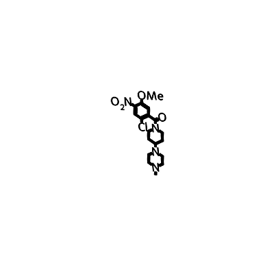 COc1cc(C(=O)N2CCC(N3CCN(C)CC3)CC2)c(Cl)cc1[N+](=O)[O-]